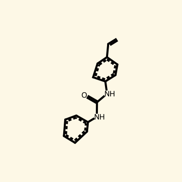 C=Cc1ccc(NC(=O)Nc2ccccc2)cc1